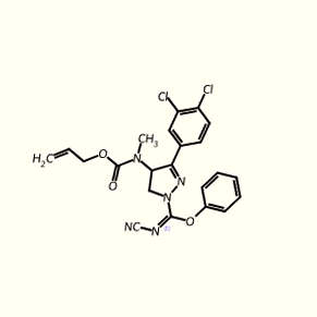 C=CCOC(=O)N(C)C1CN(/C(=N\C#N)Oc2ccccc2)N=C1c1ccc(Cl)c(Cl)c1